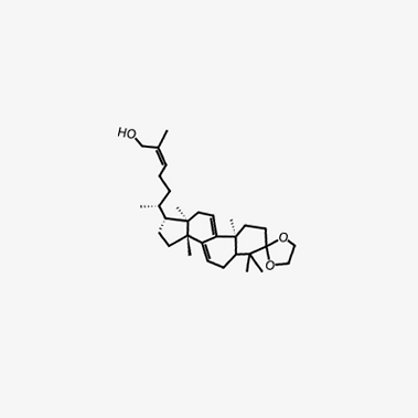 C/C(=C/CC[C@@H](C)[C@H]1CC[C@@]2(C)C3=CCC4C(C)(C)C5(CC[C@]4(C)C3=CC[C@]12C)OCCO5)CO